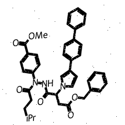 COC(=O)c1ccc(N(NC(=O)C(CC(=O)OCc2ccccc2)n2ccc(-c3ccc(-c4ccccc4)cc3)c2)C(=O)CCC(C)C)cc1